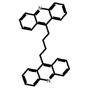 c1ccc2c(CCCCc3c4ccccc4nc4ccccc34)c3ccccc3nc2c1